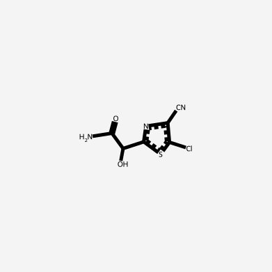 N#Cc1nc(C(O)C(N)=O)sc1Cl